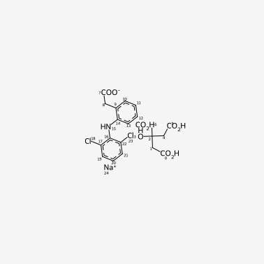 O=C(O)CC(O)(CC(=O)O)C(=O)O.O=C([O-])Cc1ccccc1Nc1c(Cl)cccc1Cl.[Na+]